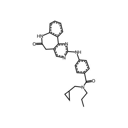 CCCN(CC1CC1)C(=O)c1ccc(Nc2ncc3c(n2)-c2ccccc2NC(=O)C3)cc1